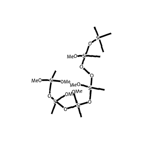 CO[Si](C)(OO[Si](C)(OC)O[Si](C)(OC)O[Si](C)(OC)O[Si](C)(OC)OC)O[Si](C)(C)C